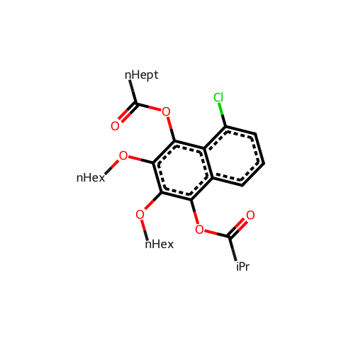 CCCCCCCC(=O)Oc1c(OCCCCCC)c(OCCCCCC)c(OC(=O)C(C)C)c2cccc(Cl)c12